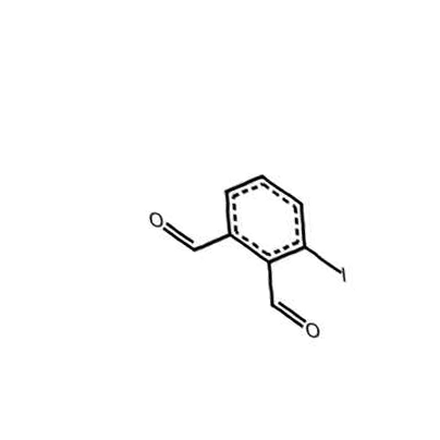 O=Cc1cccc(I)c1C=O